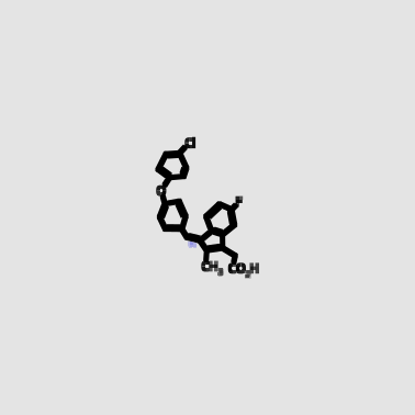 CC1=C(CC(=O)O)c2cc(F)ccc2/C1=C\c1ccc(Oc2ccc(Cl)cc2)cc1